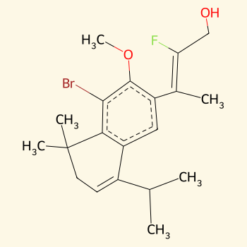 COc1c(C(C)=C(F)CO)cc2c(c1Br)C(C)(C)CC=C2C(C)C